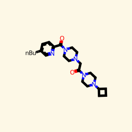 CCCCc1ccc(C(=O)N2CCN(CC(=O)N3CCN(C4CCC4)CC3)CC2)nc1